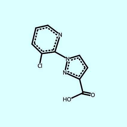 O=C(O)c1ccn(-c2ncccc2Cl)n1